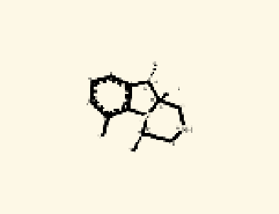 Cc1cccc2c1N1[C@H](C)CNC[C@H]1[C@H]2C